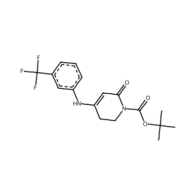 CC(C)(C)OC(=O)N1CCC(Nc2cccc(C(F)(F)F)c2)=CC1=O